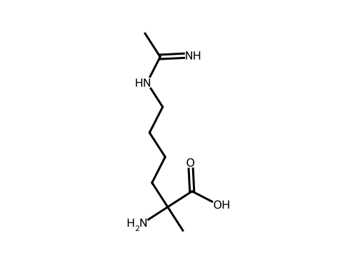 CC(=N)NCCCCC(C)(N)C(=O)O